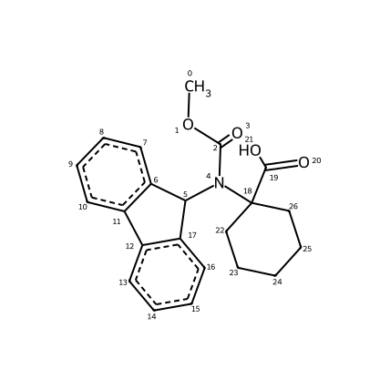 COC(=O)N(C1c2ccccc2-c2ccccc21)C1(C(=O)O)CCCCC1